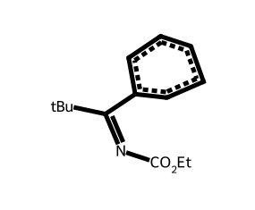 CCOC(=O)/N=C(\c1ccccc1)C(C)(C)C